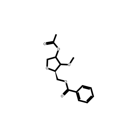 COC1C(OC(C)=O)CO[C@@H]1COC(=O)c1ccccc1